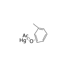 CC(=O)[O-].Cc1ccccc1.[Hg+]